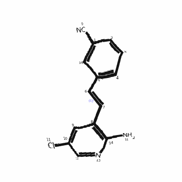 N#Cc1cccc(/C=C/c2cc(Cl)cnc2N)c1